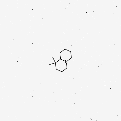 CC1(C)CCCN2CCCCC21